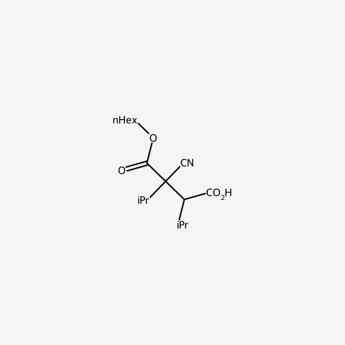 CCCCCCOC(=O)C(C#N)(C(C)C)C(C(=O)O)C(C)C